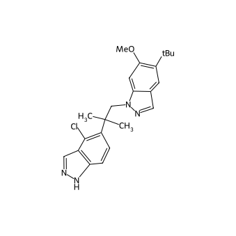 COc1cc2c(cnn2CC(C)(C)c2ccc3[nH]ncc3c2Cl)cc1C(C)(C)C